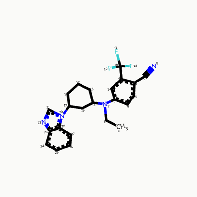 CCN(c1ccc(C#N)c(C(F)(F)F)c1)C1CCCC(n2cnc3ccccc32)C1